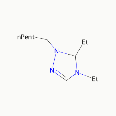 CCCCCCN1N=CN(CC)C1CC